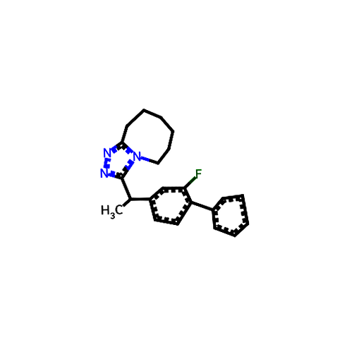 CC(c1ccc(-c2ccccc2)c(F)c1)c1nnc2n1CCCCCC2